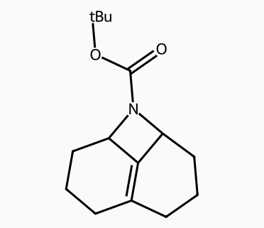 CC(C)(C)OC(=O)N1C2CCCC3=C2C1CCC3